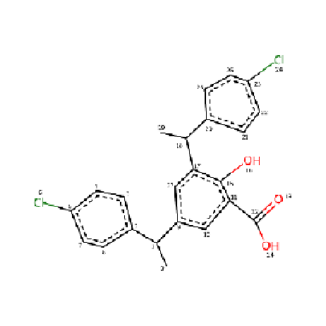 CC(c1ccc(Cl)cc1)c1cc(C(=O)O)c(O)c(C(C)c2ccc(Cl)cc2)c1